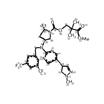 CC[C@@H]1C[C@H](N(Cc2cc(C(F)(F)F)cc(C(F)(F)F)c2)c2ncc(C3C=NN(C)C3)cn2)CN1C(=O)OCC(C)(C)C(=O)OC